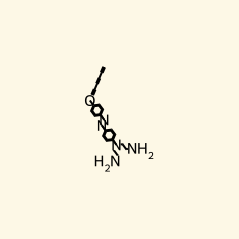 C#CC#CC#COc1ccc(N=Nc2ccc(N(CCN)CCN)cc2)cc1